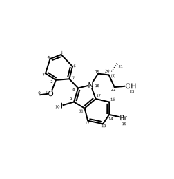 COc1ccccc1-c1c(I)c2ccc(Br)cc2n1C[C@H](C)CO